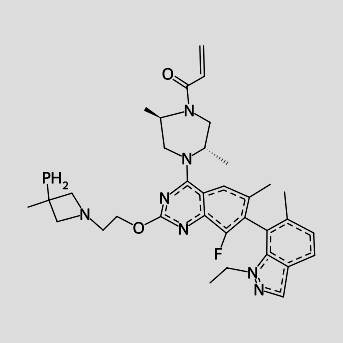 C=CC(=O)N1C[C@H](C)N(c2nc(OCCN3CC(C)(P)C3)nc3c(F)c(-c4c(C)ccc5cnn(CC)c45)c(C)cc23)C[C@H]1C